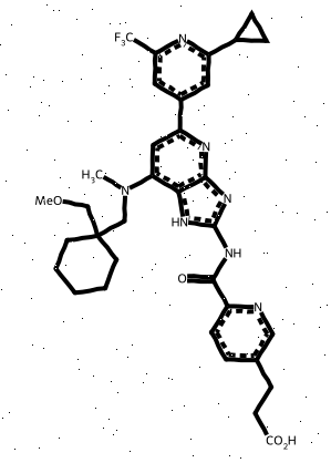 COCC1(CN(C)c2cc(-c3cc(C4CC4)nc(C(F)(F)F)c3)nc3nc(NC(=O)c4ccc(CCC(=O)O)cn4)[nH]c23)CCCCC1